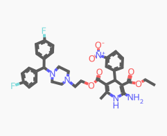 CCOC(=O)C1=C(N)NC(C)=C(C(=O)OCCN2CCN(C(c3ccc(F)cc3)c3ccc(F)cc3)CC2)C1c1cccc([N+](=O)[O-])c1